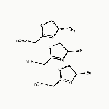 CCCCCCCCCCCC1=NC(C(C)(C)C)CO1.CCCCCCCCCCCC1=NC(C(C)C)CO1.CCCCCCCCCCCC1=NC(C(F)(F)F)CO1